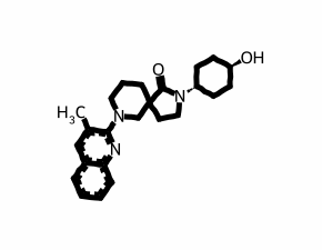 Cc1cc2ccccc2nc1N1CCCC2(CCN([C@H]3CC[C@H](O)CC3)C2=O)C1